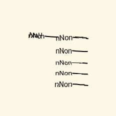 CCCCCCCCCC.CCCCCCCCCC.CCCCCCCCCC.CCCCCCCCCC.CCCCCCCCCC.CCCCCCCCCC.[NaH]